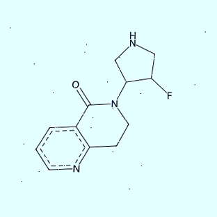 O=C1c2cccnc2CCN1C1CNCC1F